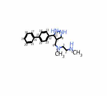 CNCCN(C)CC1CNNC1c1ccc(-c2ccccc2)cc1